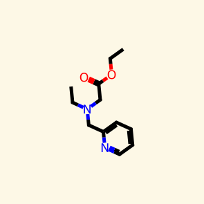 CCOC(=O)CN(CC)Cc1ccccn1